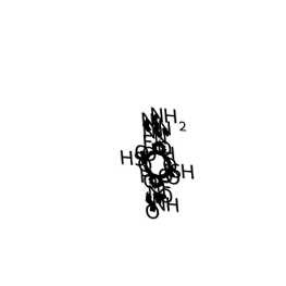 Nc1ncnc2c1ncn2[C@@H]1O[C@@H]2COP(=O)(S)OC3[C@@H](COP(=O)(S)OC2[C@@H]1F)O[C@@H](n1ccc(=O)[nH]c1=O)[C@H]3F